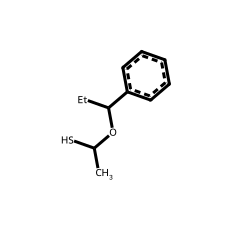 CCC(OC(C)S)c1ccccc1